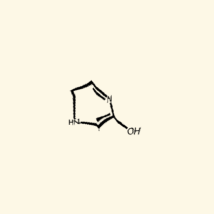 OC1=[C]NCC=N1